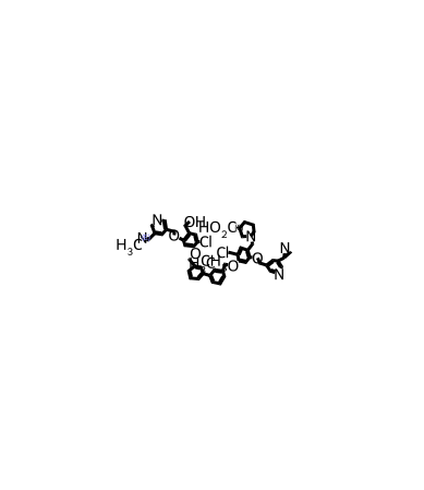 C/N=C/c1cncc(COc2cc(OCc3cccc(-c4cccc(COc5cc(OCc6cncc(C7=NC7)c6)c(CN6CCC[C@H](C(=O)O)C6)cc5Cl)c4C)c3C)c(Cl)cc2CO)c1